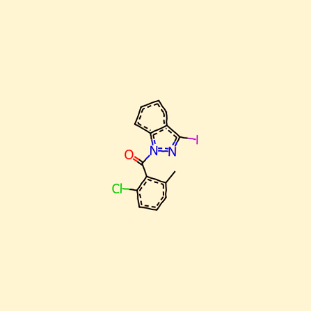 Cc1cccc(Cl)c1C(=O)n1nc(I)c2ccccc21